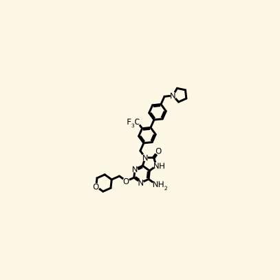 Nc1nc(OCC2CCOCC2)nc2c1[nH]c(=O)n2Cc1ccc(-c2ccc(CN3CCCC3)cc2)c(C(F)(F)F)c1